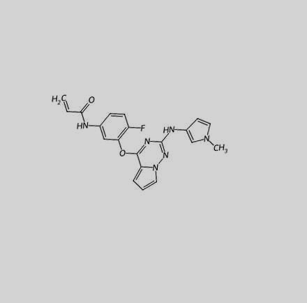 C=CC(=O)Nc1ccc(F)c(Oc2nc(Nc3ccn(C)c3)nn3cccc23)c1